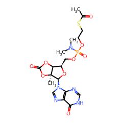 CC(=O)SCCOP(=O)(OC[C@H]1O[C@@H](n2cnc3c(=O)[nH]cnc32)[C@@]2(C)OC(=O)OC12)N(C)C